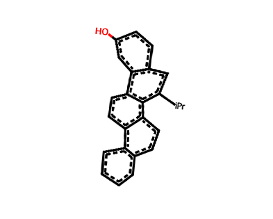 CC(C)c1cc2ccc(O)cc2c2ccc3c4ccccc4ccc3c12